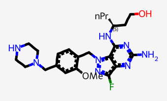 CCC[C@@H](CCO)Nc1nc(N)nc2c(F)nn(Cc3ccc(CN4CCNCC4)cc3OC)c12